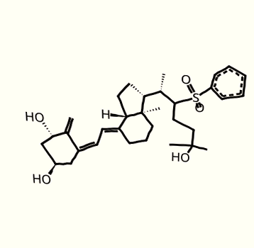 C=C1C(=CC=C2CCC[C@]3(C)[C@@H]([C@H](C)C(CCC(C)(C)O)S(=O)(=O)c4ccccc4)CC[C@@H]23)C[C@@H](O)C[C@@H]1O